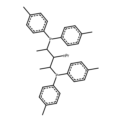 CCCC(C(C)P(c1ccc(C)cc1)c1ccc(C)cc1)C(C)P(c1ccc(C)cc1)c1ccc(C)cc1